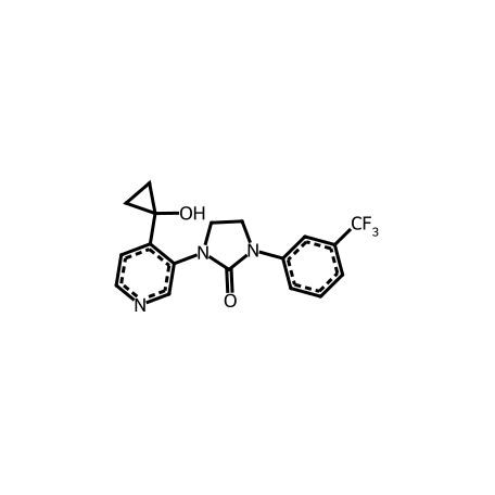 O=C1N(c2cccc(C(F)(F)F)c2)CCN1c1cnccc1C1(O)CC1